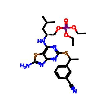 CCOP(=O)(OCC)OC[C@@H](CC(C)C)Nc1nc(SC(C)c2cccc(C#N)c2)nc2nc(N)sc12